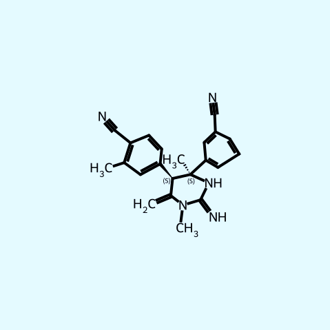 C=C1[C@@H](c2ccc(C#N)c(C)c2)[C@@](C)(c2cccc(C#N)c2)NC(=N)N1C